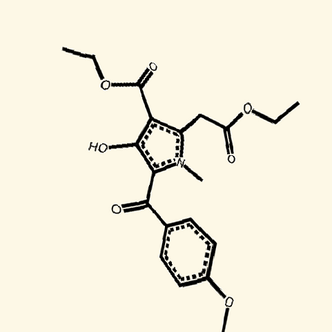 CCOC(=O)Cc1c(C(=O)OCC)c(O)c(C(=O)c2ccc(OC)cc2)n1C